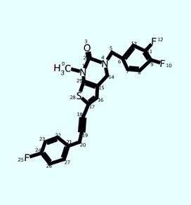 CN1C(=O)N(Cc2ccc(F)c(F)c2)Cc2cc(C#CCc3ccc(F)cc3)sc21